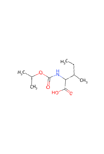 CCC(C)C(NC(=O)OC(C)C)C(=O)O